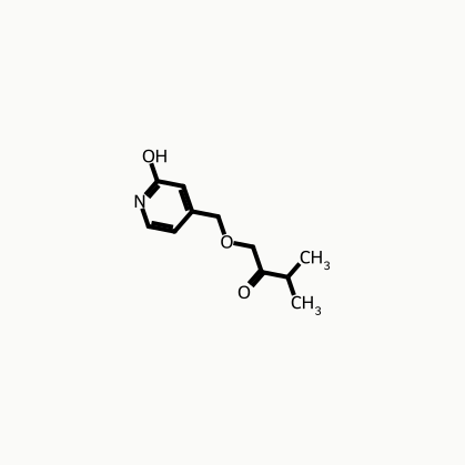 CC(C)C(=O)COCc1ccnc(O)c1